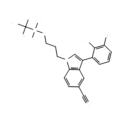 Cc1c(N)cccc1-c1cn(CCCO[Si](C)(C)C(C)(C)C)c2ccc(C#N)cc12